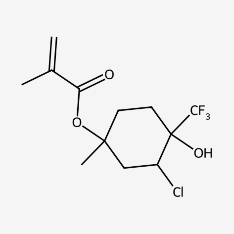 C=C(C)C(=O)OC1(C)CCC(O)(C(F)(F)F)C(Cl)C1